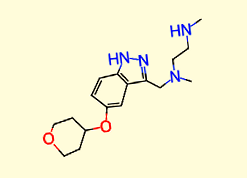 CNCCN(C)Cc1n[nH]c2ccc(OC3CCOCC3)cc12